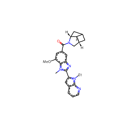 CCn1c(-c2nc3cc(C(=O)N4C[C@H]5CC6C[C@@H]4[C@H]65)cc(OC)c3n2C)cc2cccnc21